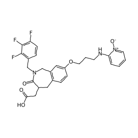 O=C(O)CC1Cc2ccc(OCCCNc3cccc[n+]3[O-])cc2CN(Cc2ccc(F)c(F)c2F)C1=O